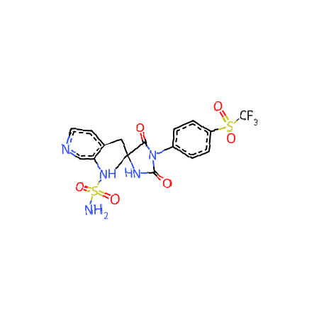 CC1(Cc2ccncc2NS(N)(=O)=O)NC(=O)N(c2ccc(S(=O)(=O)C(F)(F)F)cc2)C1=O